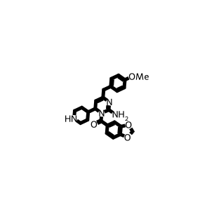 COc1ccc(CC2=CC(C3CCNCC3)N(C(=O)c3ccc4c(c3)OCO4)C(N)=N2)cc1